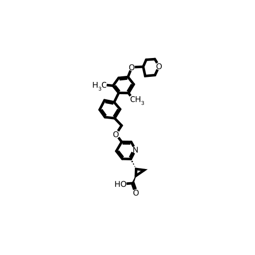 Cc1cc(OC2CCOCC2)cc(C)c1-c1cccc(COc2ccc([C@@H]3C[C@H]3C(=O)O)nc2)c1